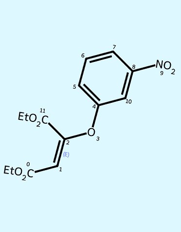 CCOC(=O)/C=C(/Oc1cccc([N+](=O)[O-])c1)C(=O)OCC